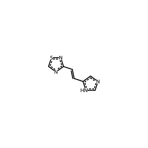 C(=Cc1cnc[nH]1)c1ncsn1